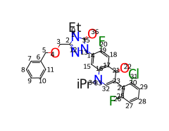 CCn1c(COCc2ccccc2)nn(-c2cc3c(cc2F)c(=O)c(-c2c(F)cccc2Cl)cn3C(C)C)c1=O